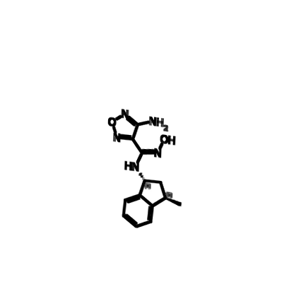 C[C@@H]1C[C@@H](NC(=NO)c2nonc2N)c2ccccc21